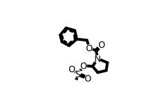 CS(=O)(=O)OC1CCCN1C(=O)OCc1ccccc1